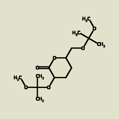 COC(C)(C)OCC1CCC(OC(C)(C)OC)C(=O)O1